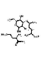 CC(CN[C@H](C)C(=O)O)O[C@@H]1[C@@H](N)[C@@H](O)O[C@H](CO)[C@H]1O.NC(=O)[C@H](N)CCC(=O)O